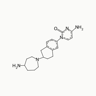 Nc1ccn(-c2ccc3c(c2)CCC(N2CCCC(N)CC2)C3)c(=O)n1